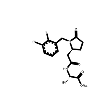 COC(=O)[C@@H](NC(=O)C[C@@H]1CCC(=O)N1Cc1cccc(Cl)c1F)C(C)C